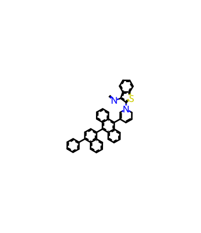 C=Nc1c(N2C=C(c3c4ccccc4c(-c4ccc(-c5ccccc5)c5ccccc45)c4ccccc34)C=CC2)sc2ccccc12